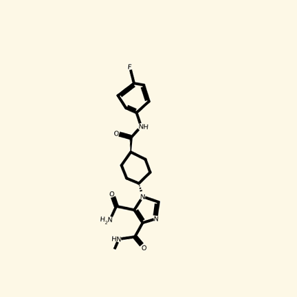 CNC(=O)c1ncn([C@H]2CC[C@H](C(=O)Nc3ccc(F)cc3)CC2)c1C(N)=O